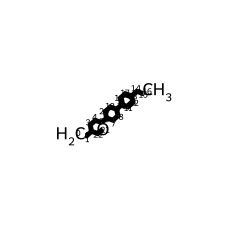 C=CC1CCC(C2CCC(c3ccc(CCC)cc3)CC2)OC1